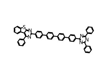 c1ccc(-c2nc(-c3ccccc3)nc(-c3ccc(-c4ccc(-c5ccc(-c6ccc(-c7nc(-c8ccccc8)c8c(n7)sc7ccccc78)cc6)cc5)cc4)cc3)n2)cc1